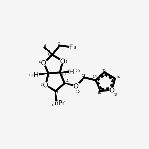 CCC[C@H]1O[C@@H]2OC(C)(CF)O[C@@H]2[C@H]1OCc1ccoc1